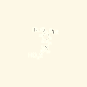 CCOc1cc(CN2CC(C(=O)O)C2)ccc1OCC(C)C